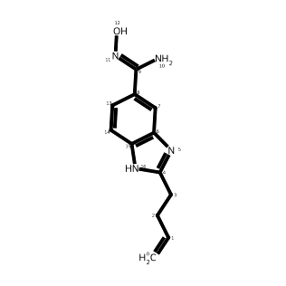 C=CCCc1nc2cc(C(N)=NO)ccc2[nH]1